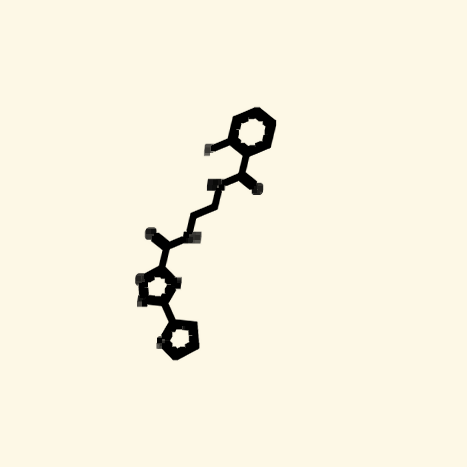 O=C(NCCNC(=O)c1ccccc1F)c1nc(-c2cccs2)no1